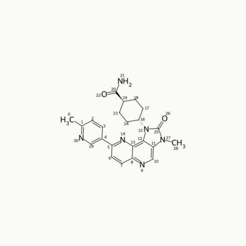 Cc1ccc(-c2ccc3ncc4c(c3n2)n([C@H]2CC[C@H](C(N)=O)CC2)c(=O)n4C)cn1